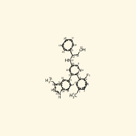 Cc1ccc(F)c(-c2ncc(NC(CO)c3ccccc3)cc2-c2ccc3[nH]nc(C)c3c2)c1